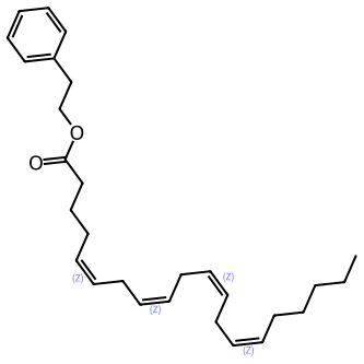 CCCCC/C=C\C/C=C\C/C=C\C/C=C\CCCC(=O)OCCc1ccccc1